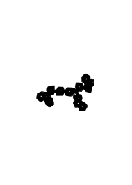 c1cc(-c2cccc3oc4ccccc4c23)cc(N(c2ccc(-c3ccc(-c4cccc(-n5c6ccccc6c6ccccc65)c4)cc3)cc2)c2ccc3c(ccc4ccccc43)c2)c1